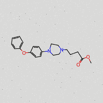 COC(=O)CCCN1CCN(c2ccc(Oc3ccccc3)cc2)CC1